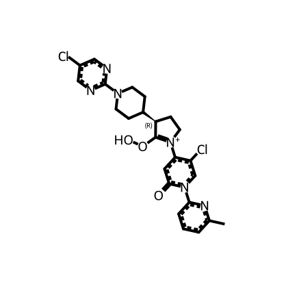 Cc1cccc(-n2cc(Cl)c([N+]3=C(OO)[C@@H](C4CCN(c5ncc(Cl)cn5)CC4)CC3)cc2=O)n1